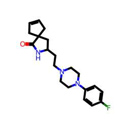 O=C1NC(CCN2CCN(c3ccc(F)cc3)CC2)CC12CC=CC2